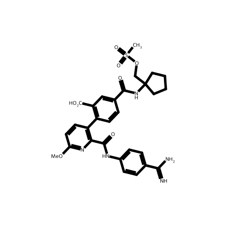 COc1ccc(-c2ccc(C(=O)NC3(COS(C)(=O)=O)CCCC3)cc2C(=O)O)c(C(=O)Nc2ccc(C(=N)N)cc2)n1